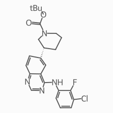 CC(C)(C)OC(=O)N1CCC[C@H](c2ccc3ncnc(Nc4cccc(Cl)c4F)c3c2)C1